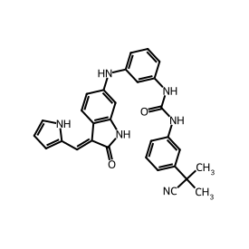 CC(C)(C#N)c1cccc(NC(=O)Nc2cccc(Nc3ccc4c(c3)NC(=O)C4=Cc3ccc[nH]3)c2)c1